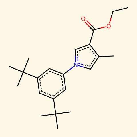 CCOC(=O)c1cn(-c2cc(C(C)(C)C)cc(C(C)(C)C)c2)cc1C